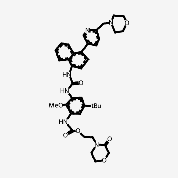 COc1c(NC(=O)Nc2ccc(-c3ccc(CN4CCOCC4)nc3)c3ccccc23)cc(C(C)(C)C)cc1NC(=O)OCCN1CCOCC1=O